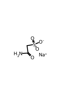 NC(=O)CS(=O)(=O)[O-].[Na+]